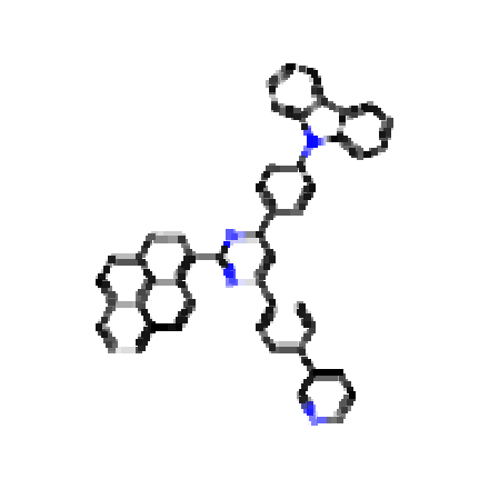 c1cncc(-c2ccc(-c3cc(-c4ccc(-n5c6ccccc6c6ccccc65)cc4)nc(-c4ccc5ccc6cccc7ccc4c5c67)n3)cc2)c1